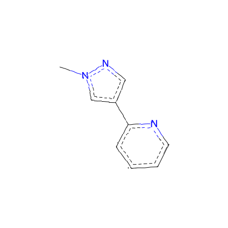 Cn1cc(-c2c[c]ccn2)cn1